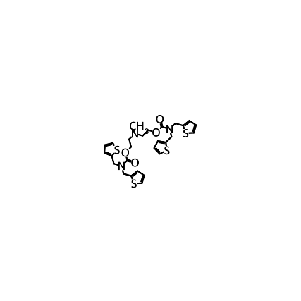 CN(CCOC(=O)N(Cc1cccs1)Cc1cccs1)CCOC(=O)N(Cc1cccs1)Cc1cccs1